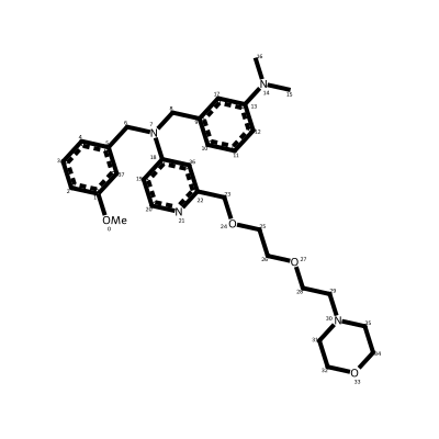 COc1cccc(CN(Cc2cccc(N(C)C)c2)c2ccnc(COCCOCCN3CCOCC3)c2)c1